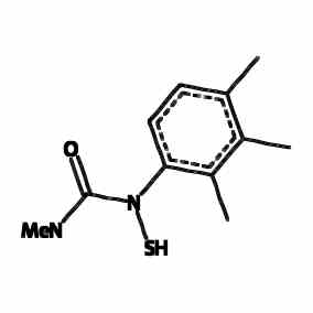 CNC(=O)N(S)c1ccc(C)c(C)c1C